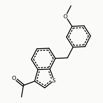 COc1cccc(Cc2cccc3c(C(C)=O)csc23)c1